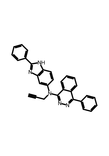 C#CCN(c1ccc2[nH]c(-c3ccccc3)nc2c1)c1nnc(-c2ccccc2)c2ccccc12